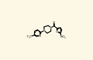 O=C(c1ccc([N+](=O)[O-])o1)N1CCN(c2ccc(C(F)(F)F)cn2)CC1